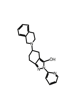 Oc1c2c(nn1-c1ccccn1)CCC(N1CCc3ccccc3C1)C2